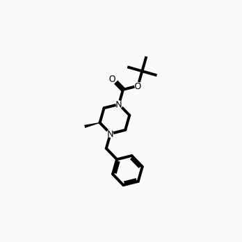 C[C@H]1CN(C(=O)OC(C)(C)C)CCN1Cc1ccccc1